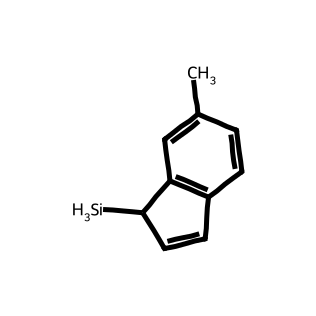 Cc1ccc2c(c1)C([SiH3])C=C2